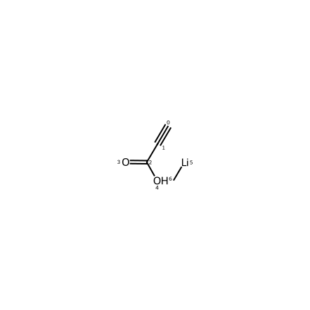 C#CC(=O)O.[Li][CH3]